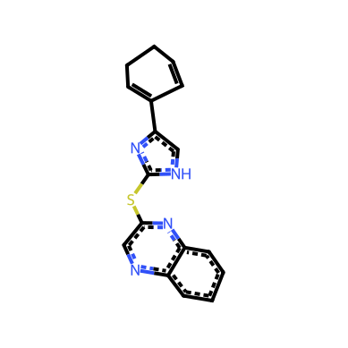 C1=CC(c2c[nH]c(Sc3cnc4ccccc4n3)n2)=CCC1